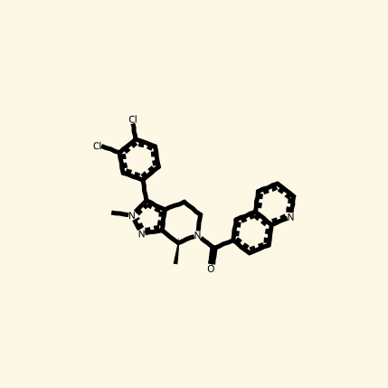 C[C@H]1c2nn(C)c(-c3ccc(Cl)c(Cl)c3)c2CCN1C(=O)c1ccc2ncccc2c1